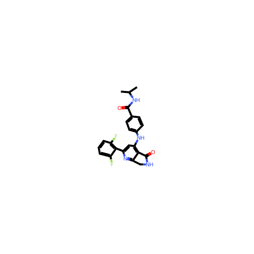 CC(C)NC(=O)c1ccc(Nc2cc(-c3c(F)cccc3F)nc3c2C(=O)NC3)cc1